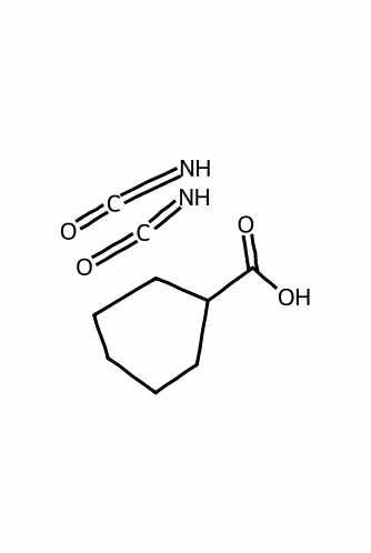 N=C=O.N=C=O.O=C(O)C1CCCCC1